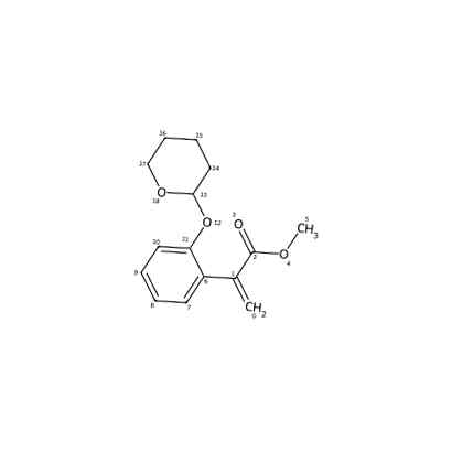 C=C(C(=O)OC)c1ccccc1OC1CCCCO1